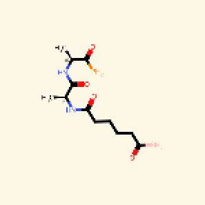 BC(=O)CCCCC(=O)N[C@@H](C)C(=O)N[C@@H](C)C(=O)P